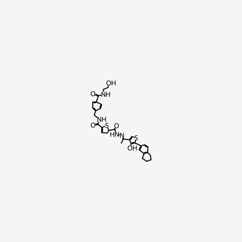 C/C(=N\NC(=O)C1CC=C(C(=O)NCc2ccc(C(=O)NCCO)cc2)S1)c1csc(-c2ccc3c(c2)CCCC3)c1O